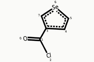 O=C(Cl)c1cc[se]c1